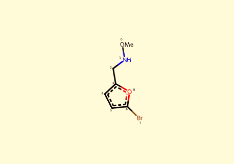 CONCc1ccc(Br)o1